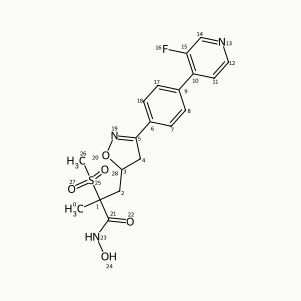 CC(CC1CC(c2ccc(-c3ccncc3F)cc2)=NO1)(C(=O)NO)S(C)(=O)=O